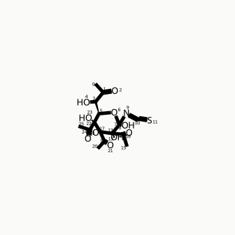 CC(=O)C(O)[C@H]1OC(O)(N=C=S)[C@@](O)(C(C)=O)[C@](O)(C(C)=O)[C@@]1(O)C(C)=O